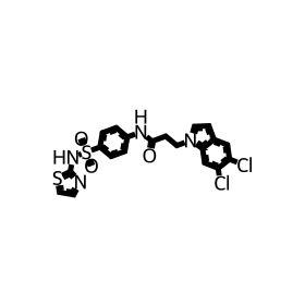 O=C(CCn1ccc2cc(Cl)c(Cl)cc21)Nc1ccc(S(=O)(=O)Nc2nccs2)cc1